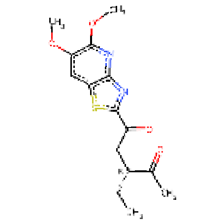 CC[C@H](CC(=O)c1nc2nc(OC)c(OC)cc2s1)C(C)=O